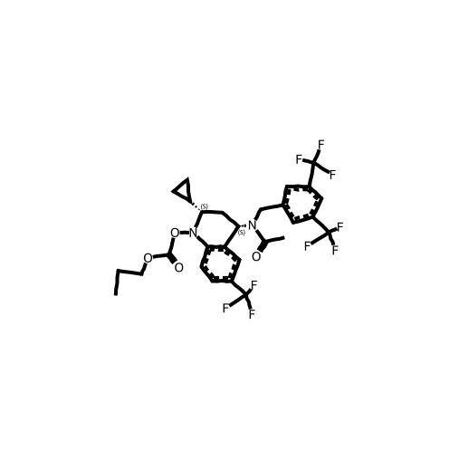 CCCOC(=O)ON1c2ccc(C(F)(F)F)cc2[C@@H](N(Cc2cc(C(F)(F)F)cc(C(F)(F)F)c2)C(C)=O)C[C@H]1C1CC1